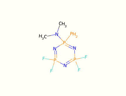 CN(C)P1(P)=NP(F)(F)=NP(F)(F)=N1